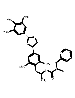 COc1cc([C@@H]2SC[C@@H](c3cc(OC)c(OC(C)OC(=O)N(Cc4ccccn4)C(C)=O)c(OC)c3)S2)cc(OC)c1OC